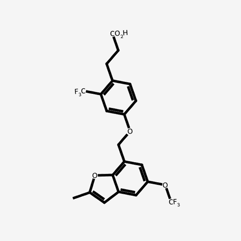 Cc1cc2cc(OC(F)(F)F)cc(COc3ccc(CCC(=O)O)c(C(F)(F)F)c3)c2o1